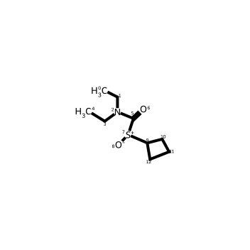 CCN(CC)C(=O)[S+]([O-])C1CCC1